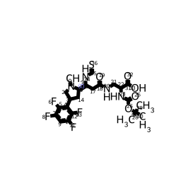 CN1CC(c2c(F)c(F)cc(F)c2F)C/C1=C(\CC(=O)NCC(NC(=O)OC(C)(C)C)C(=O)O)NC=S